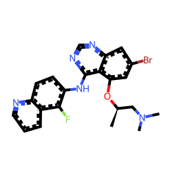 C[C@H](CN(C)C)Oc1cc(Br)cc2ncnc(Nc3ccc4ncccc4c3F)c12